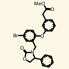 COC(=O)Cc1cccc(Oc2ccc(Br)cc2CN2C(=O)OCC2c2ccccc2)c1